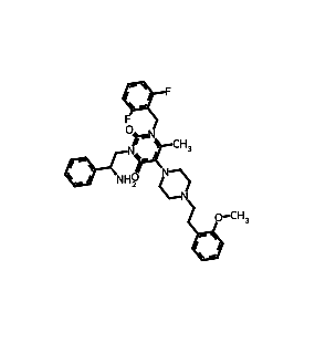 COc1ccccc1CCN1CCN(c2c(C)n(Cc3c(F)cccc3F)c(=O)n(C[C@@H](N)c3ccccc3)c2=O)CC1